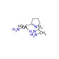 CN.CN.CN.O=C(O)C1=NCCC1